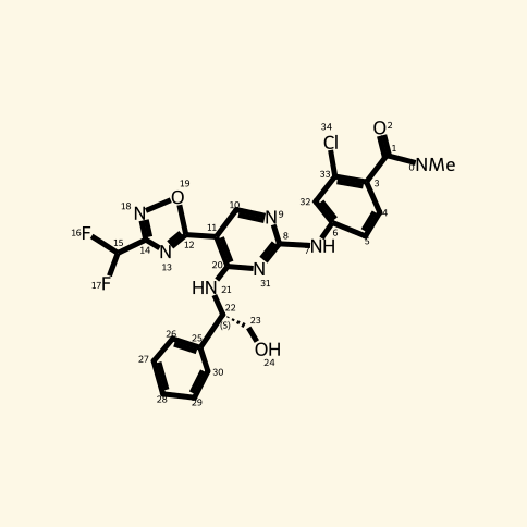 CNC(=O)c1ccc(Nc2ncc(-c3nc(C(F)F)no3)c(N[C@H](CO)c3ccccc3)n2)cc1Cl